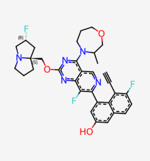 C#Cc1c(F)ccc2cc(O)cc(-c3ncc4c(N5CCCOCC5C)nc(OC[C@@]56CCCN5C[C@H](F)C6)nc4c3F)c12